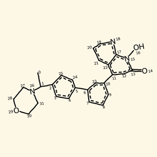 CC(c1ccc(-c2cccc(-c3cc(=O)n(O)c4ncccc34)c2)cc1)N1CCOCC1